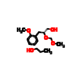 CCCO.COCO[C@@H](CO)Cc1ccccc1OC